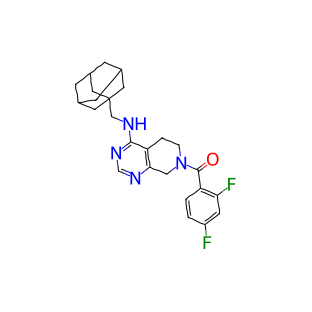 O=C(c1ccc(F)cc1F)N1CCc2c(ncnc2NCC23CC4CC(CC(C4)C2)C3)C1